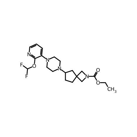 CCOC(=O)N1CC2(CCC(N3CCN(c4cccnc4OC(F)F)CC3)C2)C1